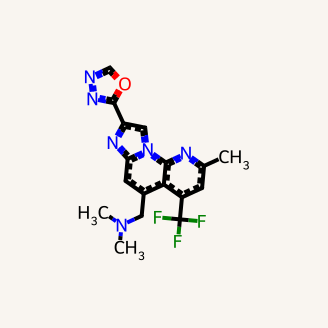 Cc1cc(C(F)(F)F)c2c(CN(C)C)cc3nc(-c4nnco4)cn3c2n1